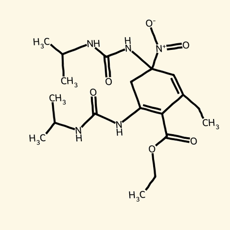 CCOC(=O)C1=C(NC(=O)NC(C)C)CC(NC(=O)NC(C)C)([N+](=O)[O-])C=C1CC